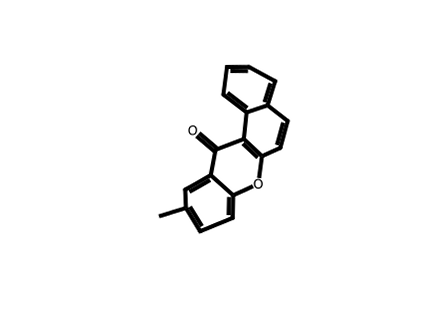 Cc1ccc2oc3ccc4ccccc4c3c(=O)c2c1